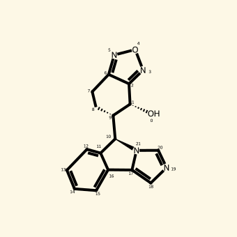 O[C@H]1c2nonc2CC[C@H]1[C@@H]1c2ccccc2-c2cncn21